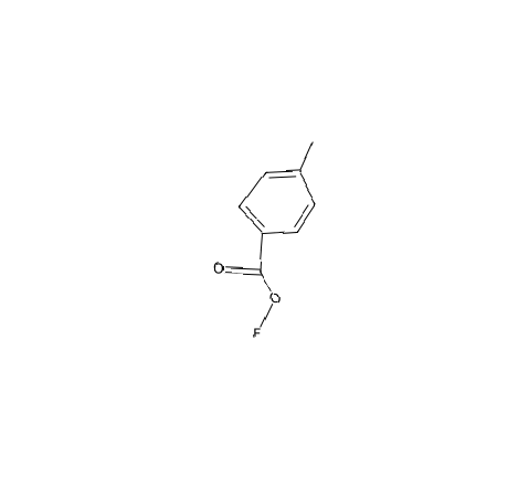 Cc1ccc(C(=O)OF)cc1